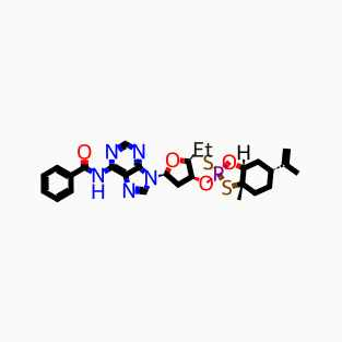 C=C(C)[C@@H]1CC[C@]2(C)S[P@](=S)(O[C@H]3C[C@H](n4cnc5c(NC(=O)c6ccccc6)ncnc54)O[C@@H]3CC)O[C@H]2C1